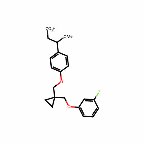 COC(CC(=O)O)c1ccc(OCC2(COc3cccc(F)c3)CC2)cc1